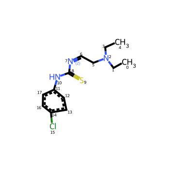 CCN(CC)C/C=N\C(=S)Nc1ccc(Cl)cc1